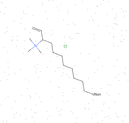 C=CC(CCCCCCCCCCCCCCCCC)[N+](C)(C)C.[Cl-]